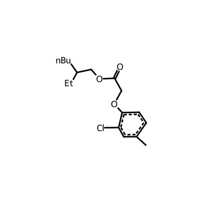 CCCCC(CC)COC(=O)COc1ccc(C)cc1Cl